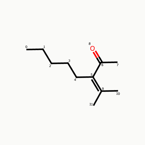 CCCCCC(C(C)=O)=C(C)C